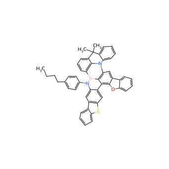 CCCCc1ccc(N2B3c4cccc5c4N(c4ccccc4C5(C)C)c4cc5c(oc6ccccc65)c(c43)-c3cc4sc5ccccc5c4cc32)cc1